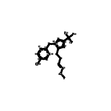 CON=CCCc1nc(C(F)(F)F)cn1Cc1ncc(Cl)cn1